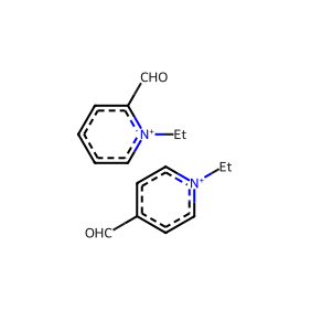 CC[n+]1ccc(C=O)cc1.CC[n+]1ccccc1C=O